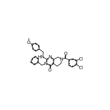 COc1ccc(CNc2nc3c(c(=O)n2Cc2ccccc2)CCN(C(=O)c2ccc(Cl)c(Cl)c2)C3)cc1